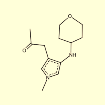 CC(=O)Cc1cn(C)cc1NC1CCOCC1